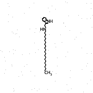 CCCCCCCCCCCCCCCCCCCCCCCNCCc1c[nH]c2ccccc12